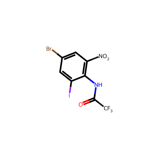 O=C(Nc1c(I)cc(Br)cc1[N+](=O)[O-])C(F)(F)F